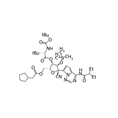 CCC(CC)C(=O)Nc1ncnn2c([C@]3(C#N)O[C@H](COC(=O)CC4CCCC4)[C@@H](OC(=O)[C@@H](NC(=O)OC(C)(C)C)C(C)(C)C)[C@H]3O[Si](C)(C)C)ccc12